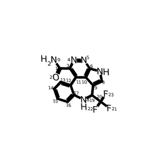 NC(=O)c1nnc2[nH]cc3c2c1-c1ccccc1NC3C(F)(F)F